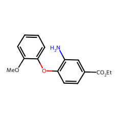 CCOC(=O)c1ccc(Oc2ccccc2OC)c(N)c1